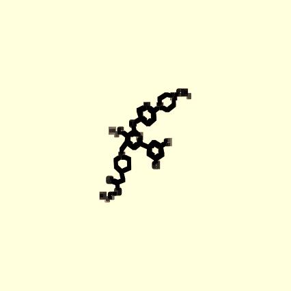 COC(=O)CC1CCN(Cc2cc(-c3cc(Cl)cc(Cl)c3)nc(Oc3ccc(N4CCN(C)CC4)nc3)c2C)CC1